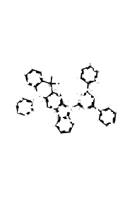 CC1(C)c2ccccc2N(c2ccccc2)c2cc3c4ccccc4n(-c4nc(-c5ccccc5)cc(-c5ccccc5)n4)c3cc21